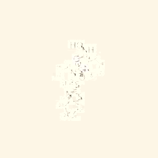 O=C(NO)C1CCCCN1S(=O)(=O)N1CCCCC1Sc1nc2ccccc2s1